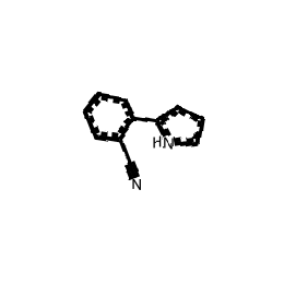 N#Cc1ccccc1-c1ccc[nH]1